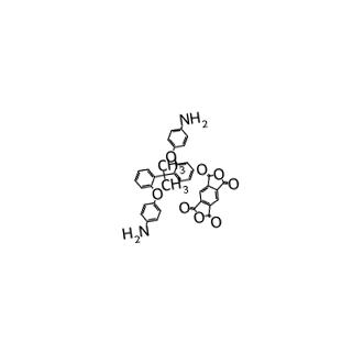 CC(C)(c1ccccc1Oc1ccc(N)cc1)c1ccccc1Oc1ccc(N)cc1.O=c1oc(=O)c2cc3c(=O)oc(=O)c3cc12